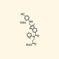 COC(=O)CCN(C(=O)c1ccc2c(c1)nc(CNc1ccc(C#N)cc1OC)n2C)c1ccccn1